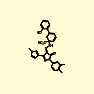 Cc1ccc(N2N=C(c3ccn(C)c3)/C(=N/NC3(C(=O)O)C=CC=C(c4ccccc4O)C3)C2=O)cc1C